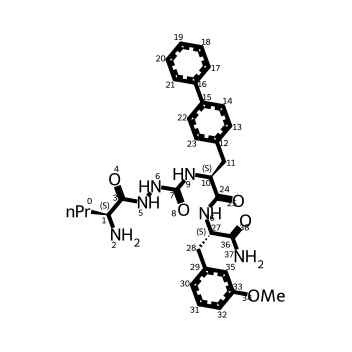 CCC[C@H](N)C(=O)NNC(=O)N[C@@H](Cc1ccc(-c2ccccc2)cc1)C(=O)N[C@@H](Cc1cccc(OC)c1)C(N)=O